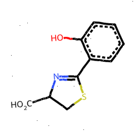 O=C(O)C1CSC(c2ccccc2O)=N1